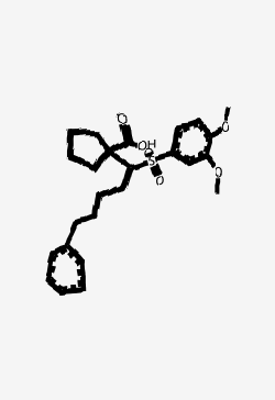 COc1ccc(S(=O)(=O)C(CCCCc2ccccc2)C2(C(=O)O)CCCC2)cc1OC